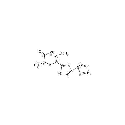 CC1=C(c2cc(-n3ccnc3)cs2)CC(C)C(=O)N1